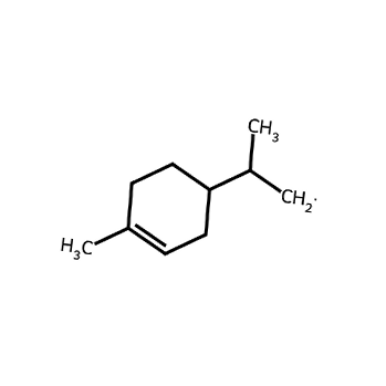 [CH2]C(C)C1CC=C(C)CC1